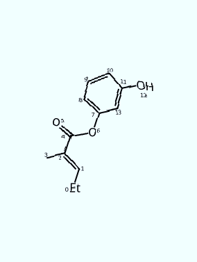 CCC=C(C)C(=O)Oc1cccc(O)c1